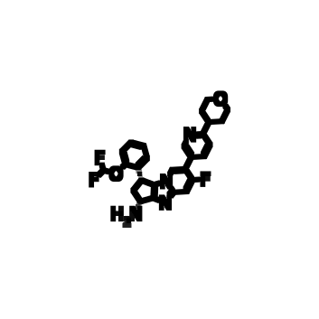 N[C@@H]1C[C@H](c2ccccc2OC(F)F)c2c1nc1cc(F)c(-c3ccc(C4CCOCC4)nc3)cn21